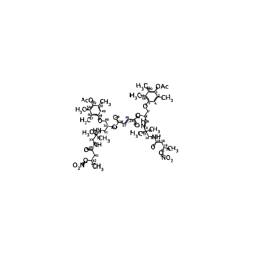 CC(=O)Oc1c(C)cc(OCC(CNC(C)(C)CNC(=O)CC(C)O[N+](=O)[O-])OC(=O)/C=C/C(=O)OC(CNC(C)(C)CNC(=O)CC(C)O[N+](=O)[O-])COc2cc(C)c(OC(C)=O)c(C)c2C)c(C)c1C